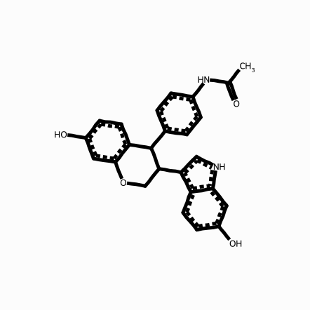 CC(=O)Nc1ccc(C2c3ccc(O)cc3OCC2c2c[nH]c3cc(O)ccc23)cc1